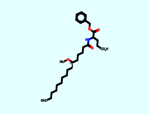 CC(C)(C)O[C@@H](CCCCCCCCCC=O)CCCCC(=O)NC(CCC(=O)O)C(=O)OCc1ccccc1